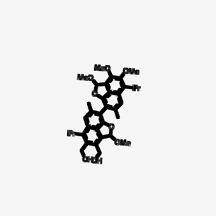 COc1c(OC)c2c3c(c(-c4c(C)cc5c(C(C)C)c(CO)c(CO)c6c5c4OC6OC)c(C)cc3c1C(C)C)OC2OC